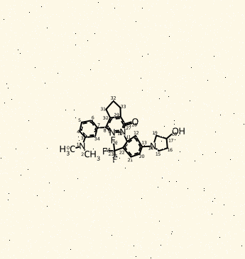 CN(C)c1cccc(-c2nn(-c3cc(N4CCC(O)C4)ccc3C(F)(F)F)c(=O)c3c2CCC3)c1